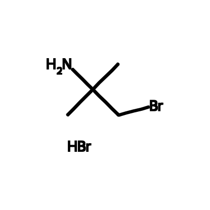 Br.CC(C)(N)CBr